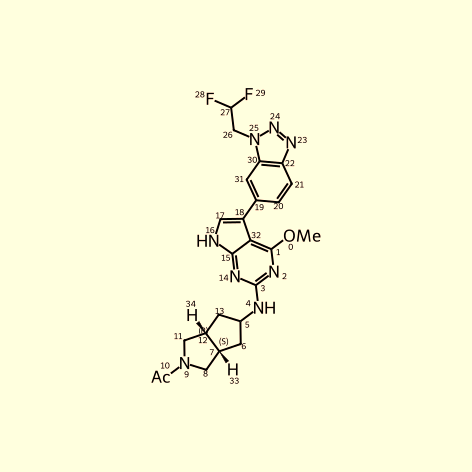 COc1nc(NC2C[C@@H]3CN(C(C)=O)C[C@@H]3C2)nc2[nH]cc(-c3ccc4nnn(CC(F)F)c4c3)c12